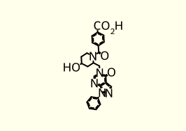 O=C(O)c1ccc(C(=O)N2CCC(O)CC2Cn2cnc3c(cnn3-c3ccccc3)c2=O)cc1